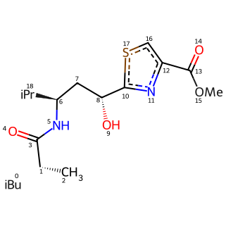 CC[C@H](C)[C@@H](C)C(=O)N[C@H](C[C@@H](O)c1nc(C(=O)OC)cs1)C(C)C